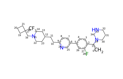 C=C(c1ccc(-c2ccc(CCC3CCN(CC4(C(F)(F)F)CCC4)CC3)nc2)cc1F)N1CCCNC1